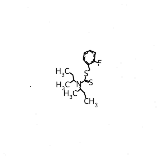 CCC(C)N(C(=S)SCc1ccccc1F)C(C)CC